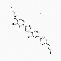 C=CCCC1CCC(c2ccc(-c3ccc(-c4ccc(OCCCC)c(F)c4F)cc3)c(F)c2)OC1